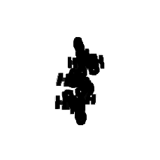 CS(=O)(=O)c1cc(Nc2nc(Nc3ccccc3)nc(N3CCOCC3)n2)ccc1/C=C/c1ccc(Nc2nc(Nc3ccccc3)nc(N3CCOCC3)n2)cc1S(=O)(=O)O